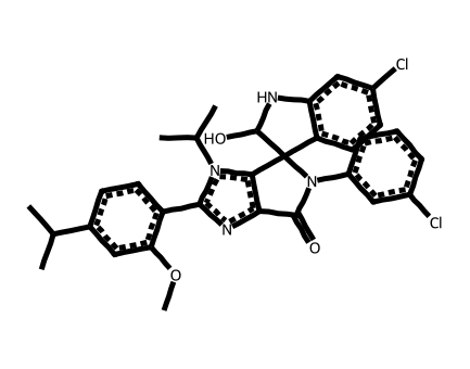 COc1cc(C(C)C)ccc1-c1nc2c(n1C(C)C)C1(c3ccc(Cl)cc3NC1O)N(c1cccc(Cl)c1)C2=O